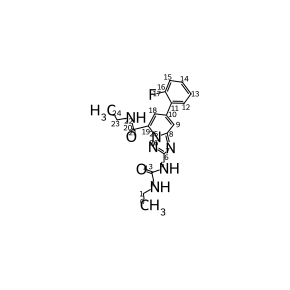 CCNC(=O)Nc1nc2cc(-c3ccccc3F)cc(C(=O)NCC)n2n1